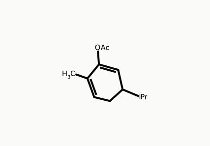 CC(=O)OC1=CC(C(C)C)CC=C1C